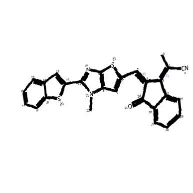 C/C(C#N)=C1\C(=C\c2cc3c(nc(-c4cc5ccccc5s4)n3C)s2)C(=O)c2ccccc21